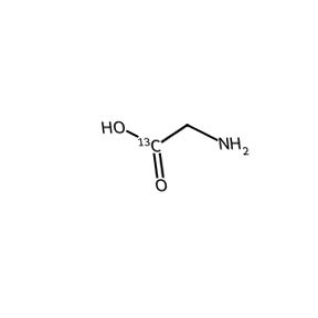 NC[13C](=O)O